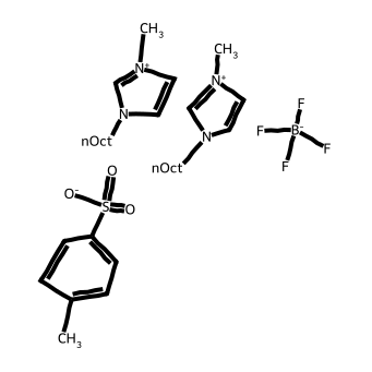 CCCCCCCCn1cc[n+](C)c1.CCCCCCCCn1cc[n+](C)c1.Cc1ccc(S(=O)(=O)[O-])cc1.F[B-](F)(F)F